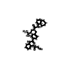 CN(C)CCN(Cc1ccc(C(=O)Nc2ccccc2NC(=O)CC(C)(C)C)cc1)C(=O)Nc1cccc2c1CCCC2